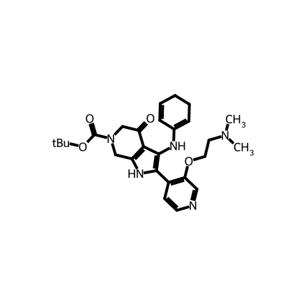 CN(C)CCOc1cnccc1-c1[nH]c2c(c1NC1=CCCC=C1)C(=O)CN(C(=O)OC(C)(C)C)C2